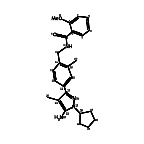 COc1ccccc1C(=O)NCc1ccc(-c2nn(C3CCCC3)c(N)c2C)cc1C